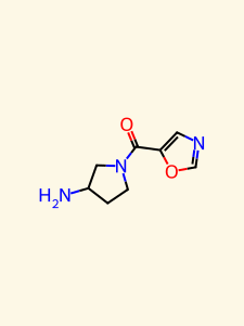 NC1CCN(C(=O)c2cnco2)C1